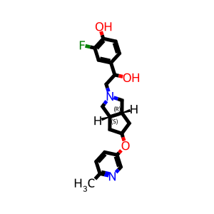 Cc1ccc(OC2C[C@@H]3CN(CC(O)c4ccc(O)c(F)c4)C[C@@H]3C2)cn1